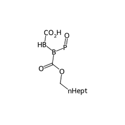 CCCCCCCCOC(=O)B(BC(=O)O)P=O